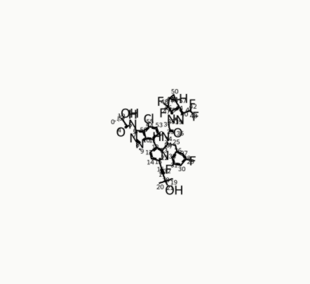 C[C@H](O)C(=O)Nc1nn(C)c2c(-c3ccc(C#CC(C)(C)O)nc3[C@H](Cc3cc(F)cc(F)c3)NC(=O)Cn3nc(C(F)F)c4c3C(F)(F)C3C[C@H]43)ccc(Cl)c12